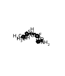 CN/C(=C\C(C)=N)c1ccc2sc(NC(=O)Cc3ccc(Oc4ncccc4C(N)=O)c(F)c3)nc2c1